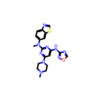 CN1CCN(c2cc(Nc3ncon3)nc(N(C)c3ccc4ncsc4c3)n2)CC1